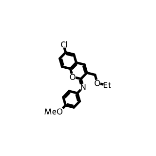 CCOCc1cc2cc(Cl)ccc2oc1=Nc1ccc(OC)cc1